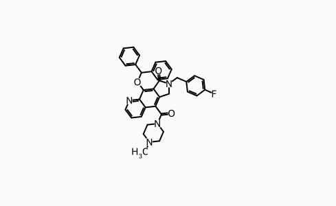 CN1CCN(C(=O)c2c3c(c(OC(c4ccccc4)c4ccccc4)c4ncccc24)C(=O)N(Cc2ccc(F)cc2)C3)CC1